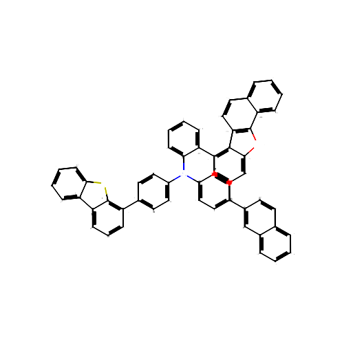 c1ccc(N(c2ccc(-c3ccc4ccccc4c3)cc2)c2ccc(-c3cccc4c3sc3ccccc34)cc2)c(-c2cccc3oc4c5ccccc5ccc4c23)c1